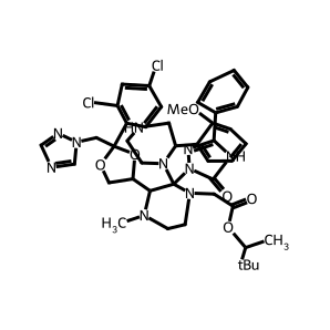 COc1ccccc1C1CNCCN1C1(n2nc(-c3ccccc3)[nH]c2=O)C(C2COC(Cn3cncn3)(c3ccc(Cl)cc3Cl)O2)N(C)CCN1CC(=O)OC(C)C(C)(C)C